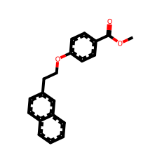 COC(=O)c1ccc(OCCc2ccc3ccccc3c2)cc1